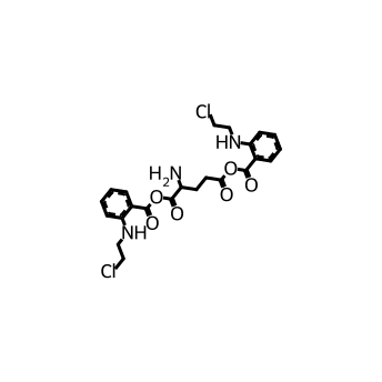 NC(CCC(=O)OC(=O)c1ccccc1NCCCl)C(=O)OC(=O)c1ccccc1NCCCl